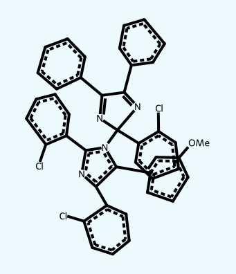 COc1cccc(-c2c(-c3ccccc3Cl)nc(-c3ccccc3Cl)n2C2(c3ccccc3Cl)N=C(c3ccccc3)C(c3ccccc3)=N2)c1